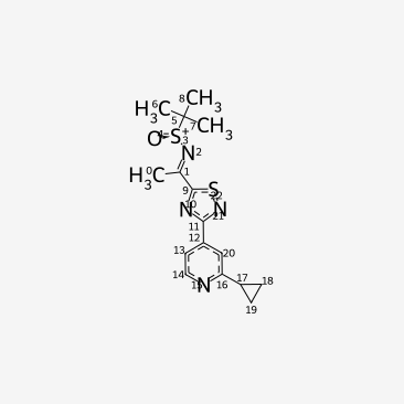 C/C(=N\[S@@+]([O-])C(C)(C)C)c1nc(-c2ccnc(C3CC3)c2)ns1